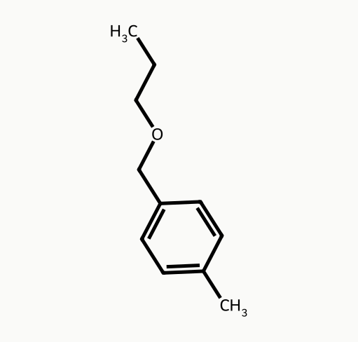 CCCOCc1ccc(C)cc1